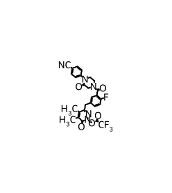 Cc1c(Cc2ccc(F)c(C(=O)N3CCN(c4ccc(C#N)cc4)C(=O)C3)c2)nn(OC(=O)C(F)(F)F)c(=O)c1C